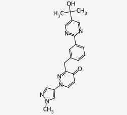 Cn1cc(-n2ccc(=O)c(Cc3cccc(-c4ncc(C(C)(C)O)cn4)c3)n2)cn1